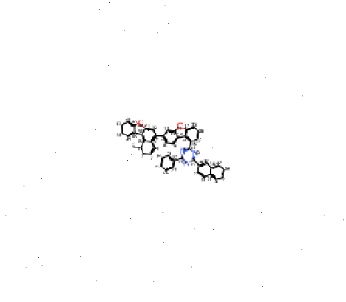 CC1CC=Cc2c(-c3ccc4c(c3)oc3cccc(-c5nc(-c6ccccc6)nc(-c6ccc7ccccc7c6)n5)c34)cc3oc4ccccc4c3c21